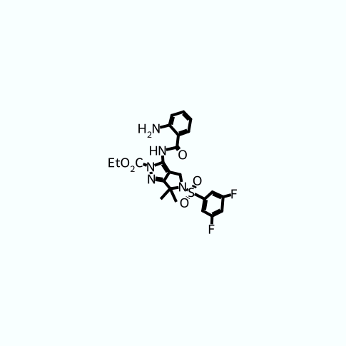 CCOC(=O)n1nc2c(c1NC(=O)c1ccccc1N)CN(S(=O)(=O)c1cc(F)cc(F)c1)C2(C)C